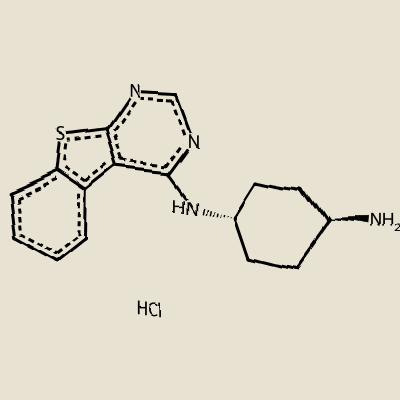 Cl.N[C@H]1CC[C@H](Nc2ncnc3sc4ccccc4c23)CC1